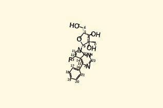 C[C@]1(O)[C@H](O)[C@@H](CO)O[C@H]1n1cc(F)c2c(-c3ccccc3)ncnc21